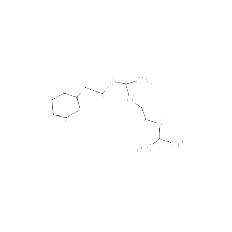 CC(OCCSC(C)C)OCCC1CCCCC1